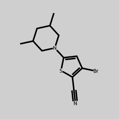 CC1CC(C)CN(c2cc(Br)c(C#N)s2)C1